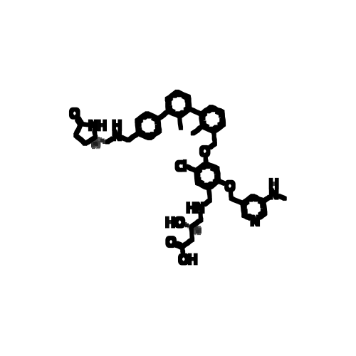 CNc1cncc(COc2cc(OCc3cccc(-c4cccc(-c5ccc(CNC[C@@H]6CCC(=O)N6)cc5)c4C)c3C)c(Cl)cc2CNC[C@@H](O)CC(=O)O)c1